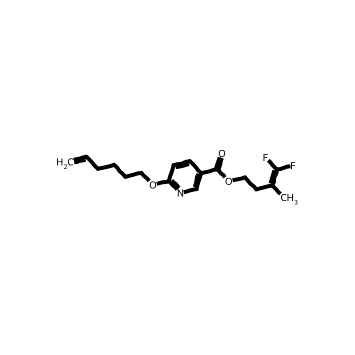 C=CCCCCOc1ccc(C(=O)OCCC(C)=C(F)F)cn1